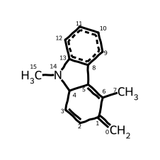 C=C1C=CC2C(=C1C)c1ccccc1N2C